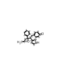 C=CCC(O)(c1ccccc1)C(Cc1ccc(Cl)cc1)c1nc[nH]n1